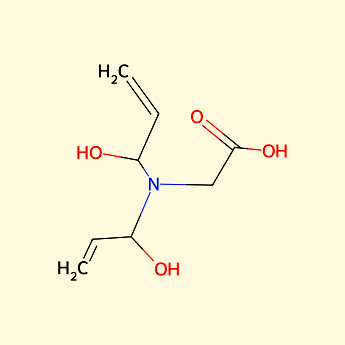 C=CC(O)N(CC(=O)O)C(O)C=C